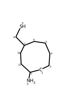 NC1CCCCCC(CS)CC1